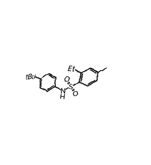 CCc1cc(C)ccc1S(=O)(=O)Nc1ccc(C(C)(C)C)cc1